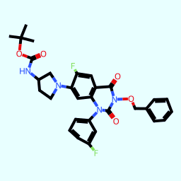 CC(C)(C)OC(=O)NC1CCN(c2cc3c(cc2F)c(=O)n(OCc2ccccc2)c(=O)n3-c2cccc(F)c2)C1